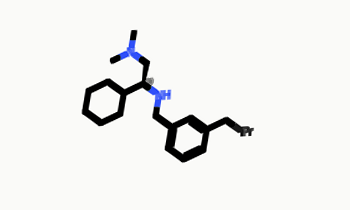 CC(C)Cc1cccc(CN[C@H](CN(C)C)C2CCCCC2)c1